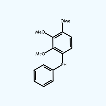 COc1ccc(Pc2ccccc2)c(OC)c1OC